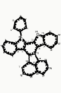 c1ccc(-n2c3ccccc3c3c4c(c5c6ccccc6oc5c32)-c2cccc3cccc-4c23)cc1